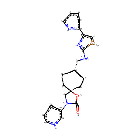 O=C1O[C@]2(CC[C@@H](CNc3nc(-c4ccccn4)cs3)CC2)CN1c1cccnc1